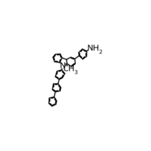 CC12C=CC(c3ccc(N)cc3)=CC1c1ccccc1N2c1ccc(-c2ccc(-c3ccccc3)cc2)cc1